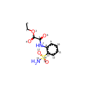 CCOC(=O)C(=O)Nc1ccccc1S(N)(=O)=O